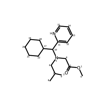 COC(=O)CN(CC(C)C)C(c1ccccn1)C1CCCCC1